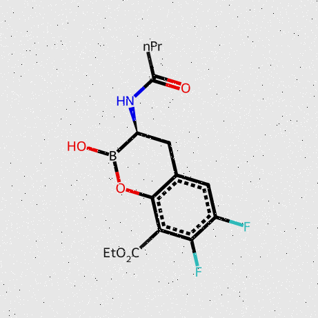 CCCC(=O)N[C@H]1Cc2cc(F)c(F)c(C(=O)OCC)c2OB1O